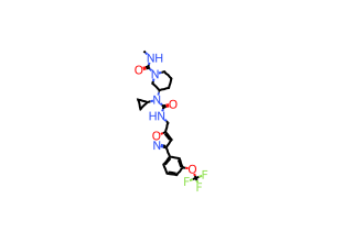 CNC(=O)N1CCC[C@@H](N(C(=O)NCc2cc(-c3cccc(OC(F)(F)F)c3)no2)C2CC2)C1